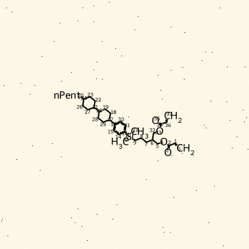 C=CC(=O)OCC(CCC[Si](C)(C)c1ccc(C2CCC(C3CCC(CCCCC)CC3)CC2)cc1)COC(=O)C=C